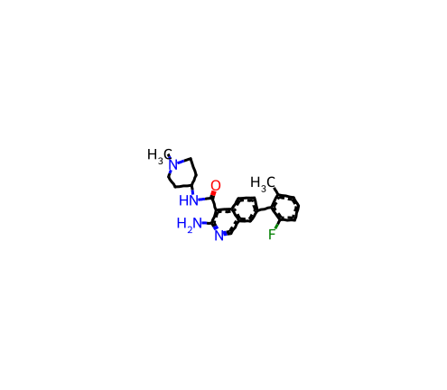 Cc1cccc(F)c1-c1ccc2c(C(=O)NC3CCN(C)CC3)c(N)ncc2c1